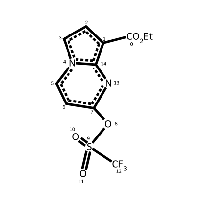 CCOC(=O)c1ccn2ccc(OS(=O)(=O)C(F)(F)F)nc12